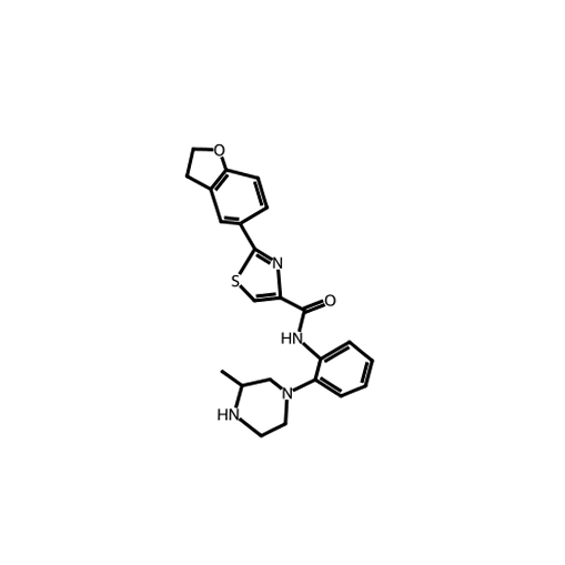 CC1CN(c2ccccc2NC(=O)c2csc(-c3ccc4c(c3)CCO4)n2)CCN1